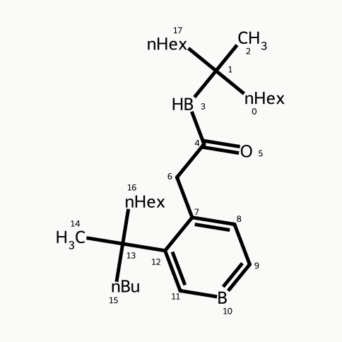 CCCCCCC(C)(BC(=O)Cc1ccbcc1C(C)(CCCC)CCCCCC)CCCCCC